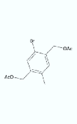 CC(=O)OCc1cc(Br)c(COC(C)=O)cc1C